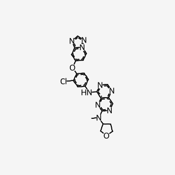 CN(c1ncc2ncnc(Nc3ccc(Oc4ccn5ncnc5c4)c(Cl)c3)c2n1)C1CCOC1